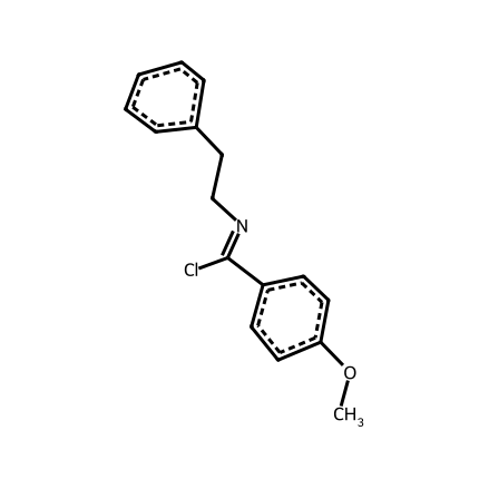 COc1ccc(C(Cl)=NCCc2ccccc2)cc1